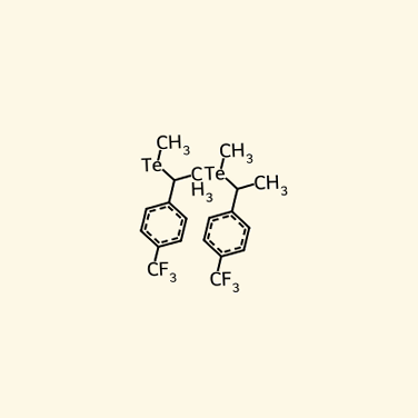 C[Te]C(C)c1ccc(C(F)(F)F)cc1.C[Te]C(C)c1ccc(C(F)(F)F)cc1